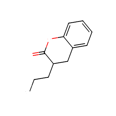 CC(=O)CCC1Cc2ccccc2OC1=O